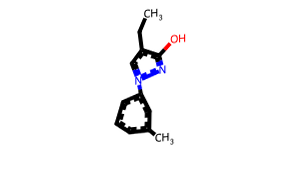 CCc1cn(-c2cccc(C)c2)nc1O